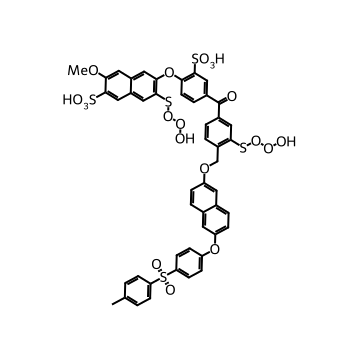 COc1cc2cc(Oc3ccc(C(=O)c4ccc(COc5ccc6cc(Oc7ccc(S(=O)(=O)c8ccc(C)cc8)cc7)ccc6c5)c(SOOO)c4)cc3S(=O)(=O)O)c(SOOO)cc2cc1S(=O)(=O)O